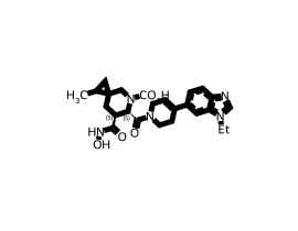 CCn1cnc2ccc(C3=CCN(C(=O)[C@@H]4[C@@H](C(=O)NO)CC5(CC5C)CN4C(=O)O)CC3)cc21